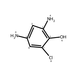 Nc1cc(N)c(O)c(Cl)c1